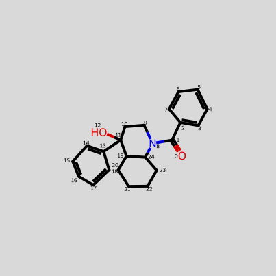 O=C(c1ccccc1)N1CCC(O)(c2ccccc2)C2CCCCC21